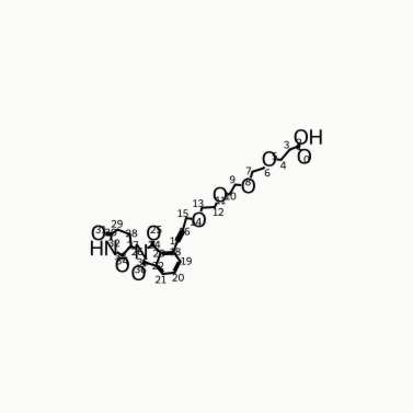 O=C(O)CCOCCOCCOCCOCC#Cc1cccc2c1C(=O)N(C1CCC(=O)NC1=O)C2=O